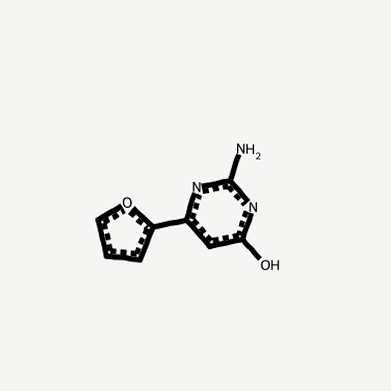 Nc1nc(O)cc(-c2ccco2)n1